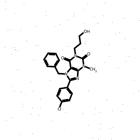 Cn1c(=O)n(CCCO)c(=O)c2c1nc(-c1ccc(Cl)cc1)n2Cc1ccccc1